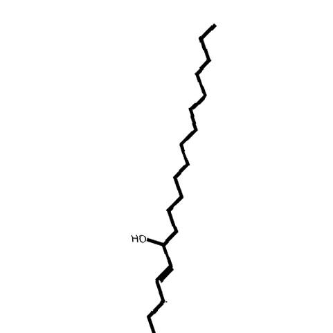 CC[CH]C=CC(O)CCCCCCCCCCCCC